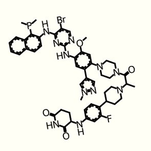 COc1cc(N2CCN(C(=O)C(C)N3CCC(c4ccc(NC5CCC(=O)NC5=O)cc4F)CC3)CC2)c(-c2cnn(C)c2)cc1Nc1ncc(Br)c(Nc2ccc3ccccc3c2P(C)C)n1